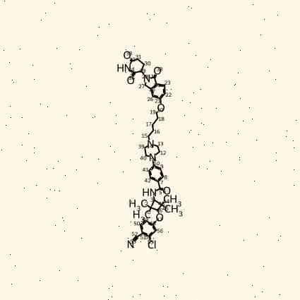 CC1(C)C(NC(=O)c2ccc(N3CCN(CCCCCOc4ccc5c(c4)CN(C4CCC(=O)NC4=O)C5=O)CC3)cc2)C(C)(C)C1Oc1ccc(C#N)c(Cl)c1